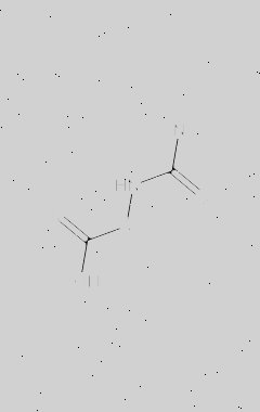 NC(=S)NSC(O)=S